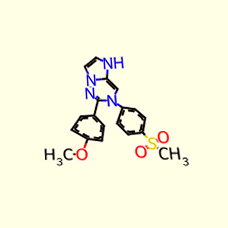 COc1ccc(C2=NN3C=CNC3=CN2c2ccc(S(C)(=O)=O)cc2)cc1